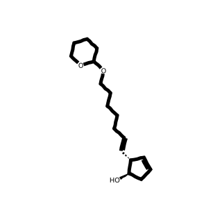 O[C@@H]1CC=C[C@H]1C=CCCCCCOC1CCCCO1